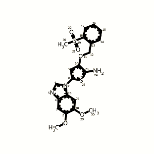 COc1cc2ncn(-c3cc(OCc4ccccc4S(C)(=O)=O)c(N)s3)c2cc1OC